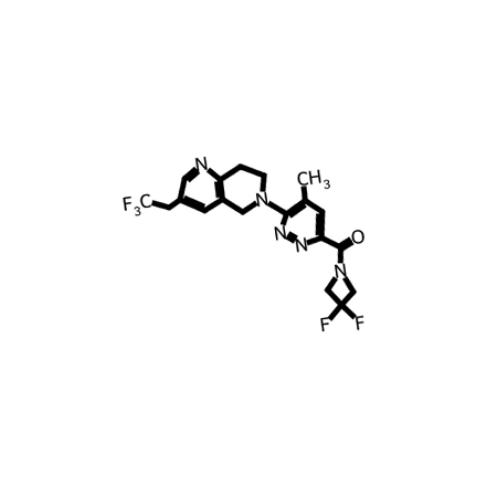 Cc1cc(C(=O)N2CC(F)(F)C2)nnc1N1CCc2ncc(CC(F)(F)F)cc2C1